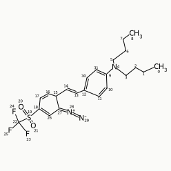 CCCCN(CCCC)c1ccc(C=CC2C=CC(S(=O)(=O)C(F)(F)F)=CC2=[N+]=[N-])cc1